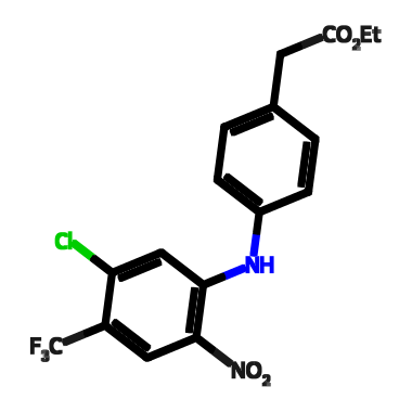 CCOC(=O)Cc1ccc(Nc2cc(Cl)c(C(F)(F)F)cc2[N+](=O)[O-])cc1